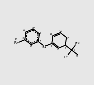 CC(F)(F)C1C=C(Oc2cccc(Br)c2)C=CC1